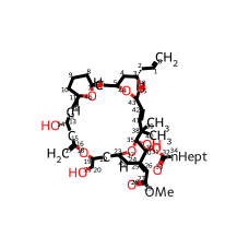 C=CC[C@H]1CC2C[C@H]3CCC[C@@H](C[C@@H](O)CC(=C)OC(CO)C[C@@H]4C/C(=C\C(=O)OC)[C@H](OC(=O)CCCCCCC)[C@@](O)(O4)C(C)(C)/C=C/[C@H](O2)O1)O3